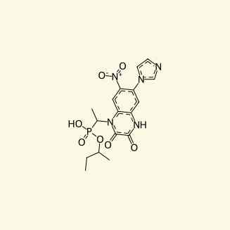 CCC(C)OP(=O)(O)C(C)n1c(=O)c(=O)[nH]c2cc(-n3ccnc3)c([N+](=O)[O-])cc21